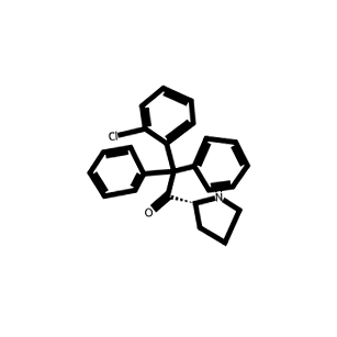 O=C([C@H]1CCCN1)C(c1ccccc1)(c1ccccc1)c1ccccc1Cl